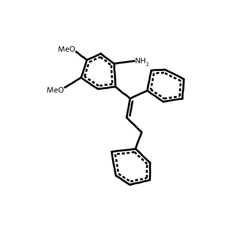 COc1cc(N)c(C(=CCc2ccccc2)c2ccccc2)cc1OC